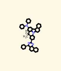 CC1(C)c2cc(-c3nc(-c4ccccc4)c4ccc5ccccc5c4n3)ccc2-n2c3ccc4ccccc4c3c3cc(N(c4ccccc4)c4ccccc4)cc1c32